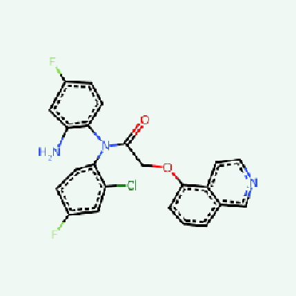 Nc1cc(F)ccc1N(C(=O)COc1cccc2cnccc12)c1ccc(F)cc1Cl